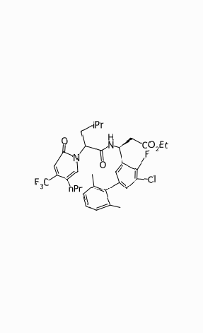 CCCc1cn(C(CC(C)C)C(=O)N[C@@H](CC(=O)OCC)c2cc(-c3c(C)cccc3C)cc(Cl)c2F)c(=O)cc1C(F)(F)F